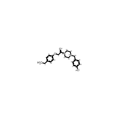 CCc1ccc(OCC(=O)N2CCN(Cc3ccc(Cl)cc3)CC2)cc1